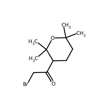 CC1(C)CCC(C(=O)CBr)C(C)(C)O1